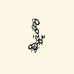 N#Cc1cnc(NCc2ccccc2OC(F)(F)F)nc1NCc1ccc2c(c1)ncn2C1CCCCO1